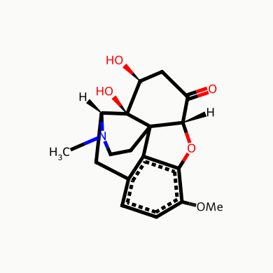 COc1ccc2c3c1O[C@H]1C(=O)C[C@H](O)[C@@]4(O)[C@@H](C2)N(C)CCC314